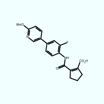 COc1ccc(-c2ccc(NC(=O)C3=C(C(=O)O)CCC3)c(F)c2)cn1